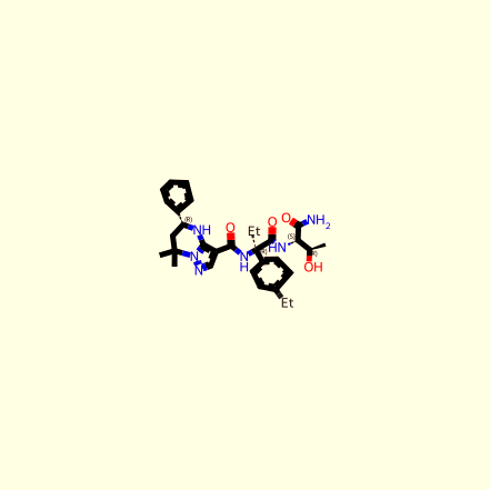 CCc1ccc([C@@](CC)(NC(=O)c2cnn3c2N[C@@H](c2ccccc2)CC3(C)C)C(=O)N[C@H](C(N)=O)[C@@H](C)O)cc1